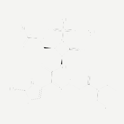 CCN(CC)C(=O)CO/N=C(\C(=O)N[C@@H]1C(=O)N(S(=O)(=O)O)[C@@H]1COC(N)=O)c1csc(N)n1.[NaH]